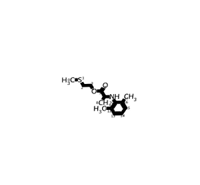 CSCCOC(=O)C(C)Nc1c(C)cccc1C